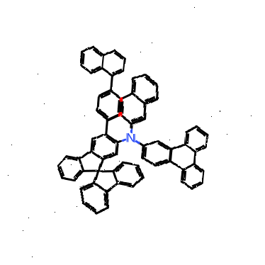 c1ccc2c(c1)-c1ccccc1C21c2ccccc2-c2cc(-c3ccc(-c4cccc5ccccc45)cc3)c(N(c3ccc4ccccc4c3)c3ccc4c5ccccc5c5ccccc5c4c3)cc21